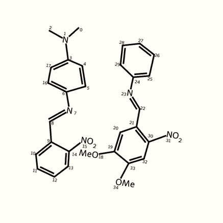 CN(C)c1ccc(/N=C/c2ccccc2[N+](=O)[O-])cc1.COc1cc(/C=N/c2ccccc2)c([N+](=O)[O-])cc1OC